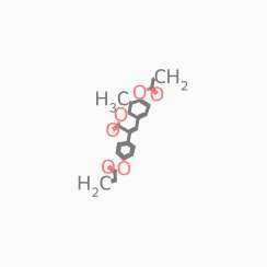 C=CC(=O)OC1=CC=C2C=C(c3ccc(OC(=O)C=C)cc3)C(=O)OC2C1C